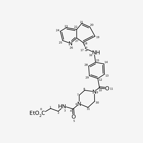 CCOC(=O)CCNC(=O)N1CCN(C(=O)c2ccc(NSc3cccc4cccnc34)cc2)CC1